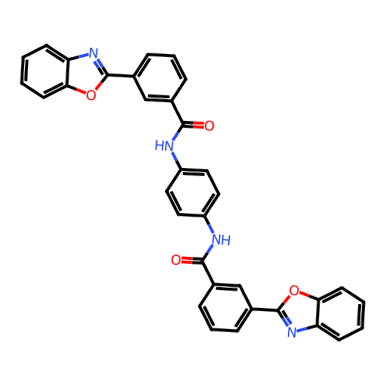 O=C(Nc1ccc(NC(=O)c2cccc(-c3nc4ccccc4o3)c2)cc1)c1cccc(-c2nc3ccccc3o2)c1